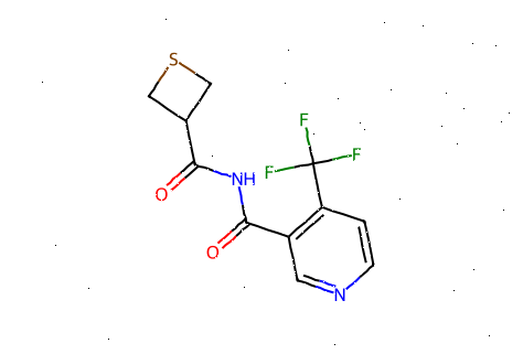 O=C(NC(=O)C1CSC1)c1cnccc1C(F)(F)F